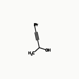 CC(C)C#CC(C)O